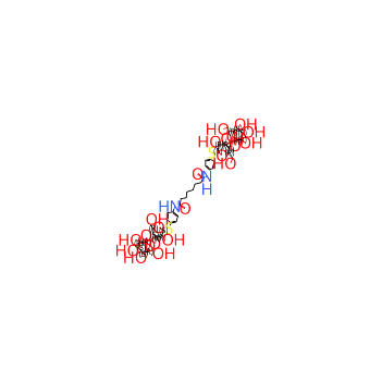 O=C(CCCCCCC(=O)Nc1ccc(S[C@@H]2O[C@H](CO)[C@@H](O[C@H]3O[C@H](CO)[C@@H](O)[C@H](O)[C@H]3O)[C@H](O)[C@H]2O)cc1)Nc1ccc(S[C@@H]2O[C@H](CO)[C@@H](O[C@H]3O[C@H](CO)[C@@H](O)[C@H](O)[C@H]3O)[C@H](O)[C@H]2O)cc1